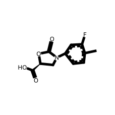 Cc1ccc(N2C[C@@H](C(=O)O)OC2=O)cc1F